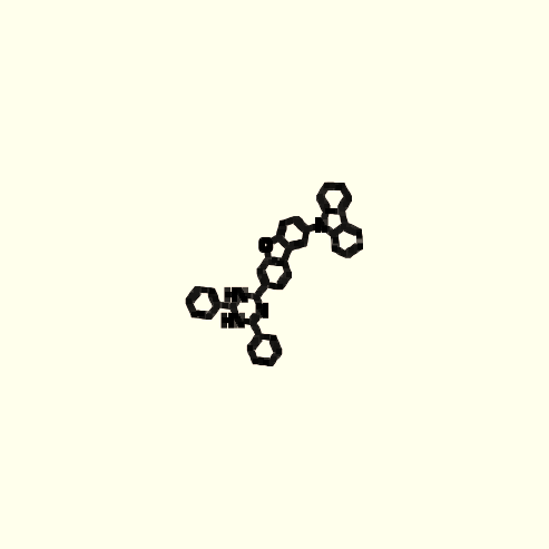 c1ccc(C2=NC(c3ccc4c(c3)oc3ccc(-n5c6ccccc6c6ccccc65)cc34)NC(c3ccccc3)N2)cc1